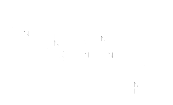 O=C(NCCCN1CCCC1)c1cncc(C2=CC=C=CC=C2N2CCN(CCc3c[nH]c4ccccc34)CC2)c1